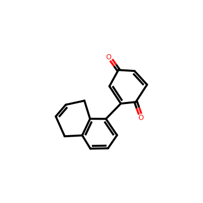 O=C1C=CC(=O)C(c2cccc3c2CC=CC3)=C1